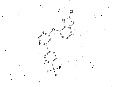 FC(F)(F)c1ccc(-c2cc(Oc3cccc4sc(Cl)nc34)ncn2)cc1